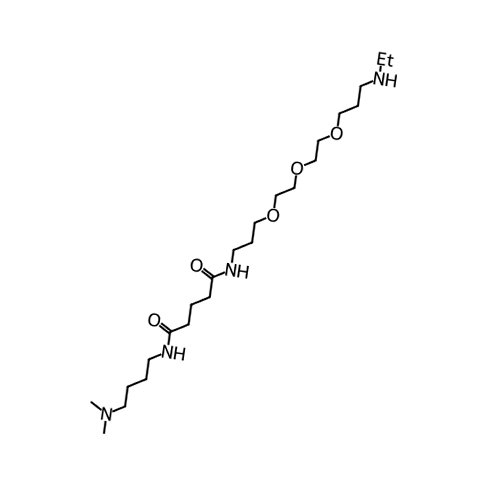 CCNCCCOCCOCCOCCCNC(=O)CCCC(=O)NCCCCN(C)C